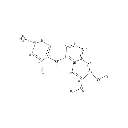 COc1cc2nccc(OC3=CCC(N)C=C3F)c2cc1OC